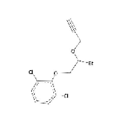 C#CCOC(CC)COc1c(Cl)cccc1Cl